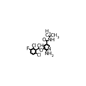 CC(C)NC(=O)c1cnc(N)c(OC(C)c2c(Cl)ccc(F)c2Cl)c1